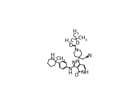 CC(C)(C)OC(=O)N1CCC(CC#N)(n2nc(Nc3ccc([C@]4(C)CCCCN4)cc3)c3c(=O)[nH]ccc32)CC1